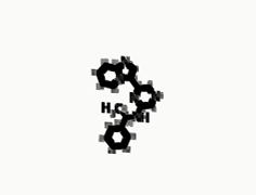 C[C@H](Nc1cncc(-c2cnc3ccccn23)n1)c1ccccc1